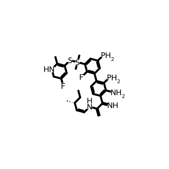 C=C(N/C=C\[C@H](C)CC)C(=N)c1ccc(-c2cc(P)cc(S(C)(C)SC3=C(C)NCC(F)=C3)c2F)c(P)c1N